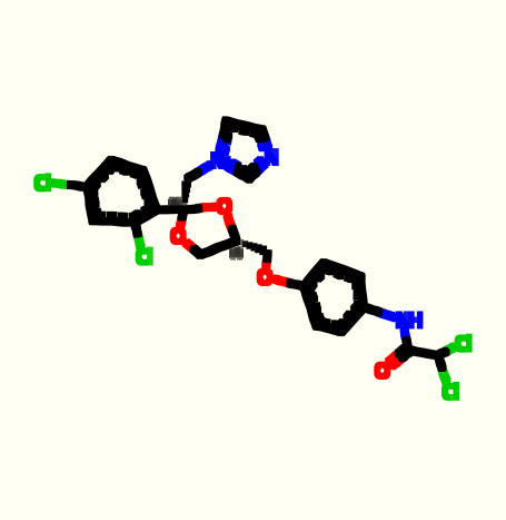 O=C(Nc1ccc(OC[C@@H]2CO[C@@](Cn3ccnc3)(c3ccc(Cl)cc3Cl)O2)cc1)C(Cl)Cl